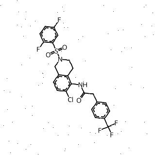 O=C(Cc1ccc(C(F)(F)F)cc1)Nc1c(Cl)ccc2c1CCN(S(=O)(=O)c1cc(F)ccc1F)C2